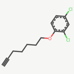 C#CCCCCCOc1ccc(Cl)cc1Cl